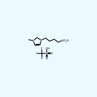 CN1C=CN(CCCCS(=O)(=O)O)C1.O=S(=O)(O)C(F)(F)F